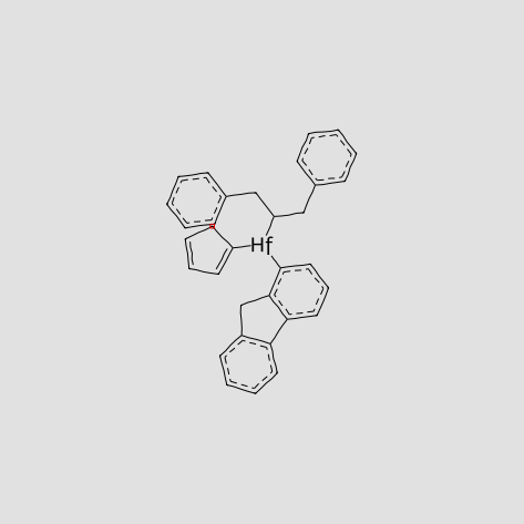 C1=CC[C]([Hf]([c]2cccc3c2Cc2ccccc2-3)[CH](Cc2ccccc2)Cc2ccccc2)=C1